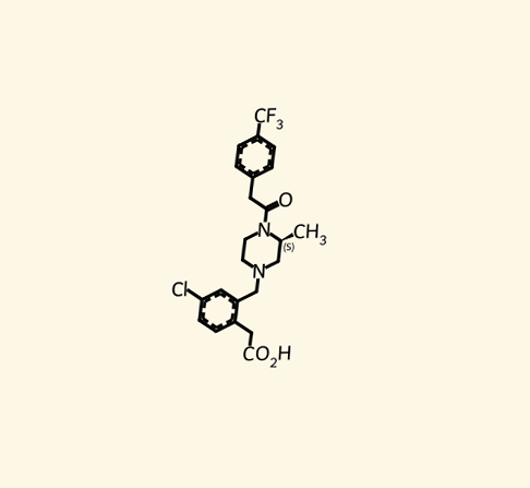 C[C@H]1CN(Cc2cc(Cl)ccc2CC(=O)O)CCN1C(=O)Cc1ccc(C(F)(F)F)cc1